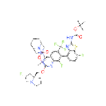 CC(C)(C)OC(=O)Nc1nc2c(-c3c(C(F)(F)F)cc4c(N5CC6CCCC(C5)N6C(=O)OC(C)(C)C)nc(OC[C@@]56CCCN5C[C@H](F)C6)nc4c3F)ccc(F)c2s1